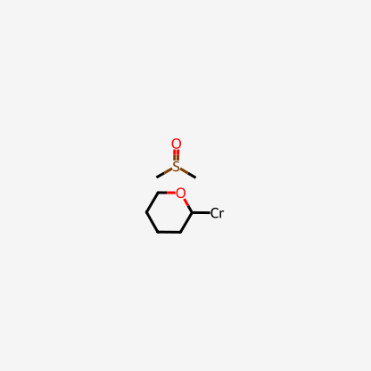 CS(C)=O.[Cr][CH]1CCCCO1